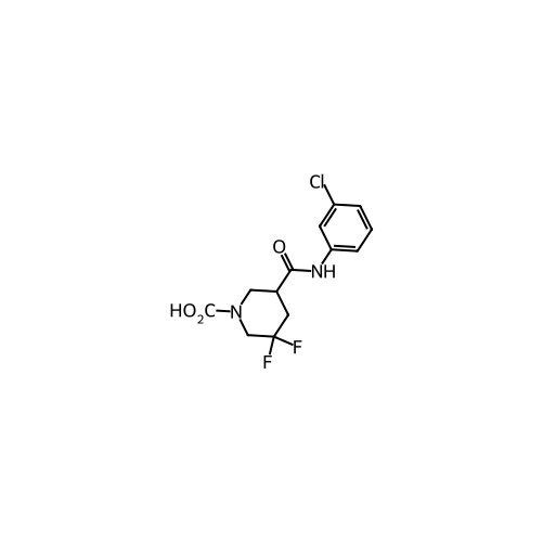 O=C(Nc1cccc(Cl)c1)C1CN(C(=O)O)CC(F)(F)C1